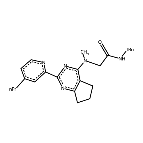 CCCc1ccnc(-c2nc3c(c(N(C)CC(=O)NC(C)(C)C)n2)CCC3)c1